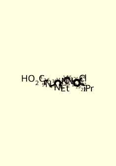 CCc1nc(CN2CC(C(=O)O)C2)ccc1N1C=CN(c2ccc(CC(C)C)c(Cl)c2)C1